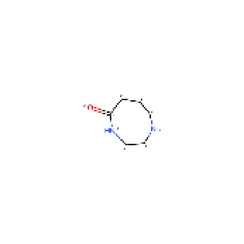 O=C1CCC[N]CCN1